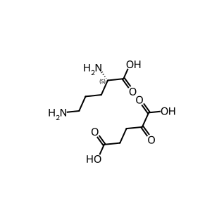 NCCC[C@H](N)C(=O)O.O=C(O)CCC(=O)C(=O)O